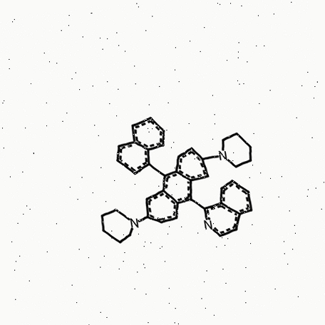 c1ccc2c(-c3c4cc(N5CCCCC5)ccc4c(-c4nccc5ccccc45)c4cc(N5CCCCC5)ccc34)cccc2c1